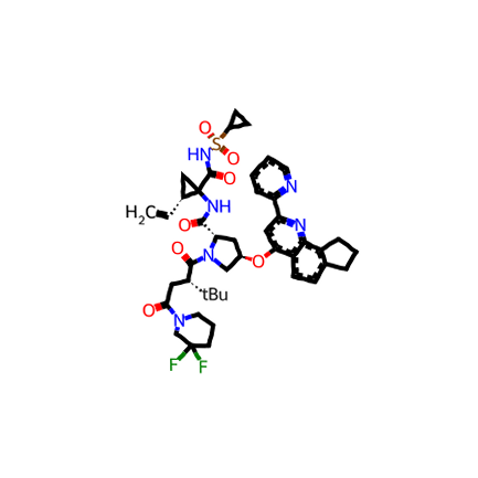 C=C[C@@H]1CC1(NC(=O)[C@@H]1C[C@@H](Oc2cc(-c3ccccn3)nc3c4c(ccc23)CCC4)CN1C(=O)[C@@H](CC(=O)N1CCCC(F)(F)C1)C(C)(C)C)C(=O)NS(=O)(=O)C1CC1